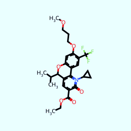 CCOC(=O)c1cc2c(n(C3CC3)c1=O)-c1cc(C(F)(F)F)c(OCCCOC)cc1OC2C(C)C